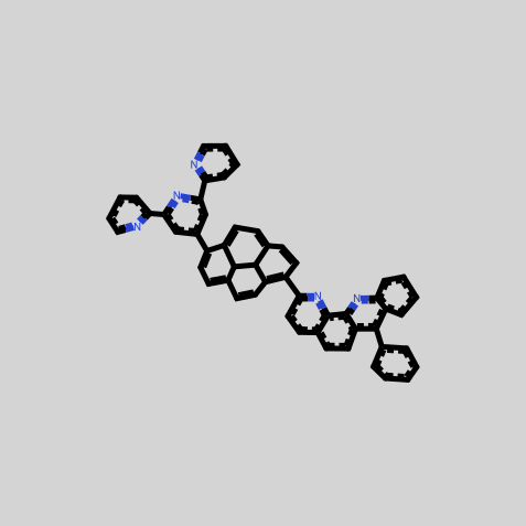 C1=CC2=C(c3ccc4ccc5c(-c6ccccc6)c6ccccc6nc5c4n3)C=CC3=CC=C4C(c5cc(-c6ccccn6)nc(-c6ccccn6)c5)=CC=C1C4C32